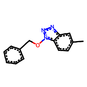 Cc1ccc2c(c1)nnn2OCc1ccccc1